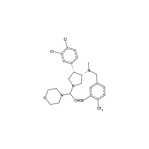 CN(Cc1ccc(C(F)(F)F)c(F)c1)[C@@H]1CN(C(C=O)N2CCOCC2)C[C@@H]1c1ccc(Cl)c(Cl)c1